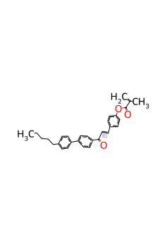 C=C(C)C(=O)Oc1ccc(/C=C/C(=O)c2ccc(-c3ccc(CCCCC)cc3)cc2)cc1